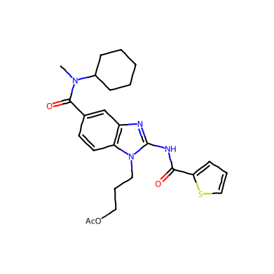 CC(=O)OCCCn1c(NC(=O)c2cccs2)nc2cc(C(=O)N(C)C3CCCCC3)ccc21